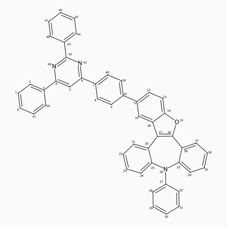 c1ccc(-c2cc(-c3ccc(-c4ccc5oc6c(c5c4)-c4ccccc4N(c4ccccc4)c4ccccc4-6)cc3)nc(-c3ccccc3)n2)cc1